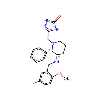 COc1ccc(I)cc1CN[C@H]1CCCN(Cc2n[nH]c(=O)[nH]2)[C@H]1c1ccccc1